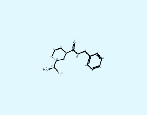 C[C@H](O)[C@@H]1CCCN(C(=O)OCc2ccccc2)C1